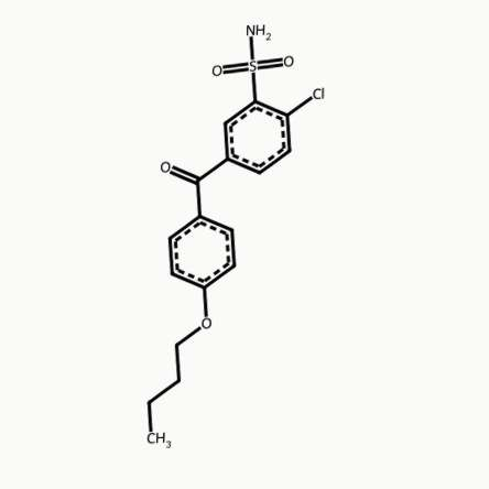 CCCCOc1ccc(C(=O)c2ccc(Cl)c(S(N)(=O)=O)c2)cc1